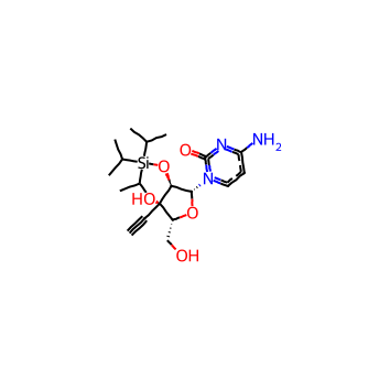 C#C[C@@]1(O)[C@@H](CO)O[C@@H](n2ccc(N)nc2=O)[C@@H]1O[Si](C(C)C)(C(C)C)C(C)C